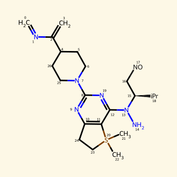 C=NC(=C)C1CCN(c2nc3c(c(N(N)[C@@H](CN=O)C(C)C)n2)S(C)(C)CC3)CC1